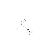 COc1ccc(-c2cccc(C)c2C)cc1CNc1ccc(S(=O)(=O)CC(=O)O)cc1